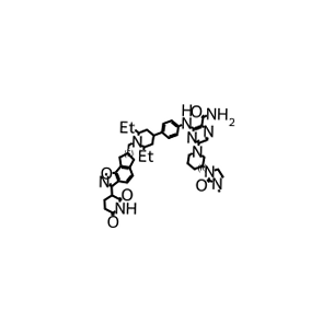 CCC1CC(c2ccc(Nc3nc(N4CCC[C@@H](N5CCN(C)C5=O)C4)cnc3C(N)=O)cc2)CC(CC)N1C[C@H]1Cc2ccc3c(C4CCC(=O)NC4=O)noc3c2C1